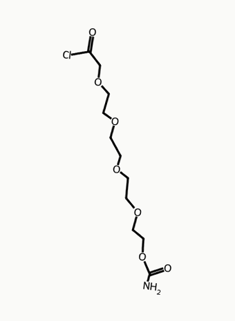 NC(=O)OCCOCCOCCOCCOCC(=O)Cl